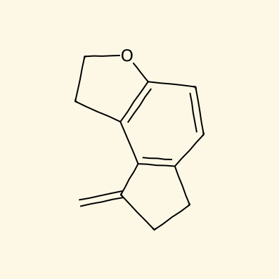 C=C1CCc2ccc3c(c21)CCO3